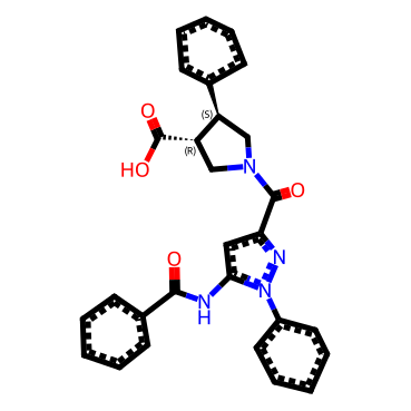 O=C(Nc1cc(C(=O)N2C[C@H](C(=O)O)[C@@H](c3ccccc3)C2)nn1-c1ccccc1)c1ccccc1